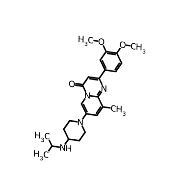 COc1ccc(-c2cc(=O)n3cc(N4CCC(NC(C)C)CC4)cc(C)c3n2)cc1OC